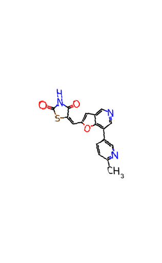 Cc1ccc(-c2cncc3cc(C=C4SC(=O)NC4=O)oc23)cn1